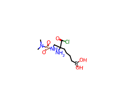 CN(C)S(=O)(=O)NCC(N)(CCCCB(O)O)C(=O)Cl